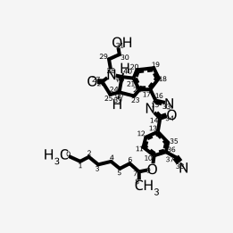 CCCCCCCC(C)Oc1ccc(-c2nc(-c3cccc4c3C[C@H]3CC(=O)N(CCO)[C@@H]43)no2)cc1C#N